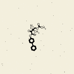 CC(=O)OCC(C)(C)C(=O)C(Br)Oc1ccc(-c2ccccc2)cc1